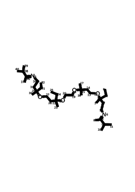 CCC(C)(CC/N=C(\C)C(C)C)OCCC(C)(C)OCCOC(C)(CC)CCOC(C)(CC)CC/N=C(\C)C(C)C